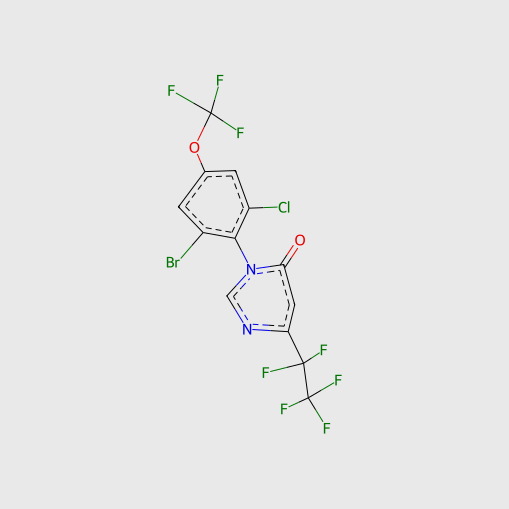 O=c1cc(C(F)(F)C(F)(F)F)ncn1-c1c(Cl)cc(OC(F)(F)F)cc1Br